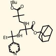 CCC(C)(BCC(C)(BCC(C)(C)C(=O)OC(C)(C)C)C(=O)OC12CC3CC(CC(C3)C1)C2)c1ccncc1